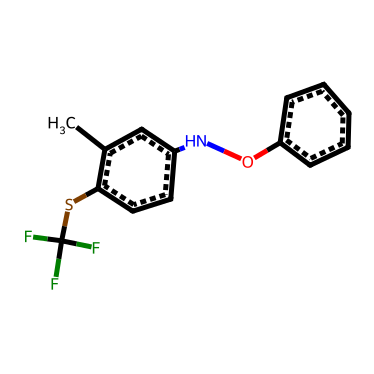 Cc1cc(NOc2ccccc2)ccc1SC(F)(F)F